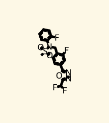 CS(=O)(=O)N(Cc1ccc(-c2nnc(C(F)F)o2)cc1F)c1ccccc1F